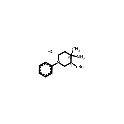 CCCC[C@H]1CN(c2ccccc2)CC[C@]1(C)N.Cl